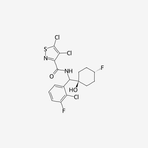 O=C(NC(c1cccc(F)c1Cl)[C@]1(O)CC[C@H](F)CC1)c1nsc(Cl)c1Cl